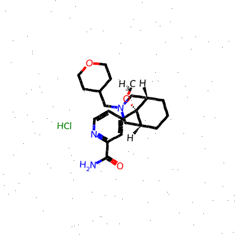 CO[C@@]1(c2ccnc(C(N)=O)c2)[C@@H]2CCC[C@H]1CN(CC1CCOCC1)C2.Cl